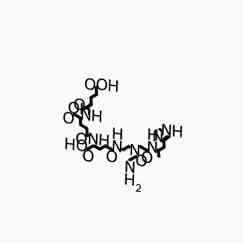 CC(Cc1c[nH]cn1)NC(=O)CN(CCNC(=O)CCC(NC(=O)CCC(NC(=O)CCCC(=O)O)C(=O)O)C(=O)O)C(=O)CN